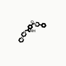 O=C(c1ccc2c(CN3CCC(N4CCCCC4)CC3)c[nH]c2c1)N1CCC(c2ccccc2)CC1